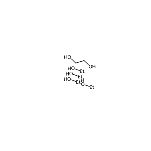 CCO.CCO.CCO.CCO.OCCO